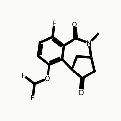 CN1C(=O)c2c(F)ccc(OC(F)F)c2C2CC1CC2=O